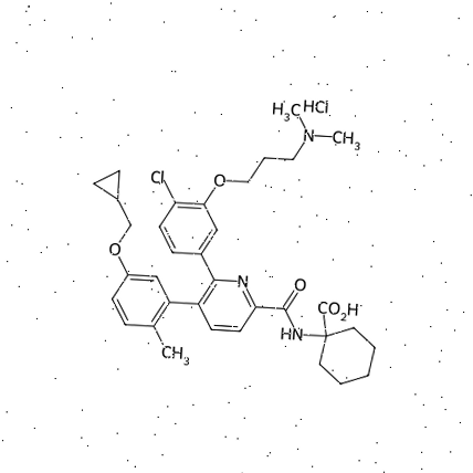 Cc1ccc(OCC2CC2)cc1-c1ccc(C(=O)NC2(C(=O)O)CCCCC2)nc1-c1ccc(Cl)c(OCCCN(C)C)c1.Cl